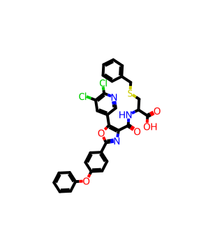 O=C(NC(CSCc1ccccc1)C(=O)O)c1nc(-c2ccc(Oc3ccccc3)cc2)oc1-c1cnc(Cl)c(Cl)c1